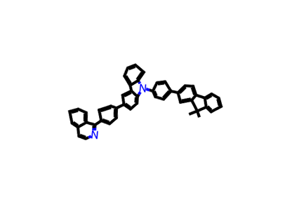 CC1(C)c2ccccc2-c2ccc(-c3ccc(-n4c5ccccc5c5cc(-c6ccc(-c7nccc8ccccc78)cc6)ccc54)cc3)cc21